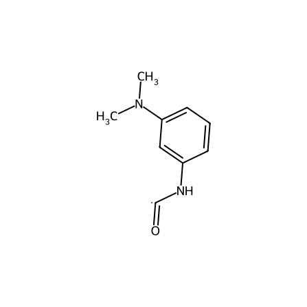 CN(C)c1cccc(N[C]=O)c1